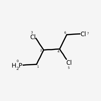 PCC(Cl)C(Cl)CCl